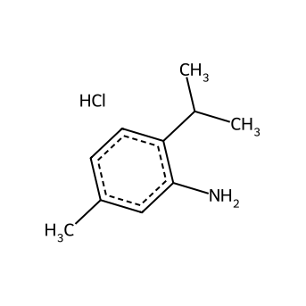 Cc1ccc(C(C)C)c(N)c1.Cl